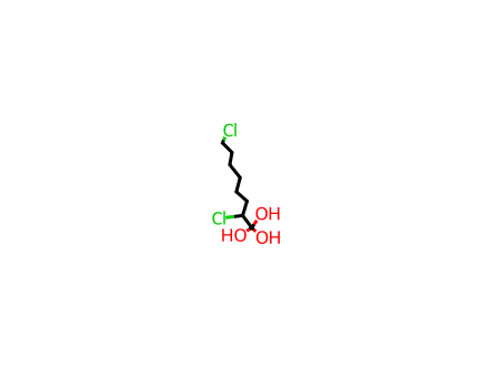 OC(O)(O)C(Cl)CCCCCCCl